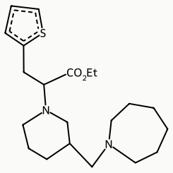 CCOC(=O)C(Cc1cccs1)N1CCCC(CN2CCCCCC2)C1